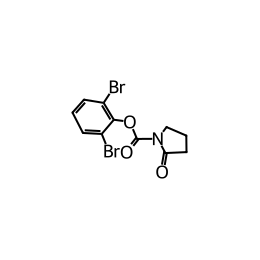 O=C1CCCN1C(=O)Oc1c(Br)cccc1Br